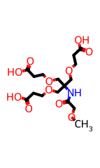 COCC(=O)NC(COCCC(=O)O)(COCCC(=O)O)COCCC(=O)O